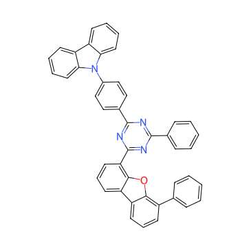 c1ccc(-c2nc(-c3ccc(-n4c5ccccc5c5ccccc54)cc3)nc(-c3cccc4c3oc3c(-c5ccccc5)cccc34)n2)cc1